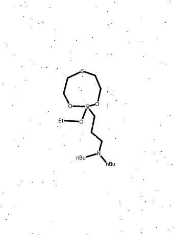 CCCCN(CCCC)CCC[Si]1(OCC)OCCSCCO1